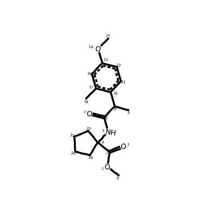 COC(=O)C1(NC(=O)C(C)c2ccc(OC)cc2C)CCCC1